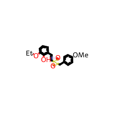 CCOc1cccc(/C=C/S(=O)(=O)Cc2ccc(OC)cc2)c1O